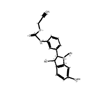 C#CCOC(=O)Nc1cccc(C2C(C#N)c3ccc(OC)cc3N2C(C)C)c1